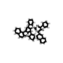 c1ccc2cc(-c3nc(-n4c5ccccc5c5cc6c7c8ccccc8ccc7n7c8ccccc8c(c54)c67)nc4c3sc3ccccc34)ccc2c1